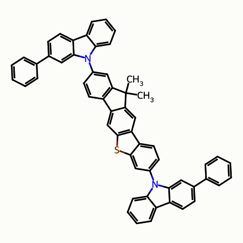 CC1(C)c2cc(-n3c4ccccc4c4ccc(-c5ccccc5)cc43)ccc2-c2cc3sc4cc(-n5c6ccccc6c6ccc(-c7ccccc7)cc65)ccc4c3cc21